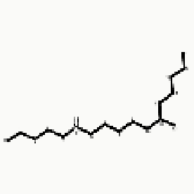 CCCCCNCCCCCC(C)CCCCC